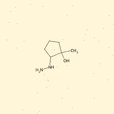 CC1(O)CCCC1NN